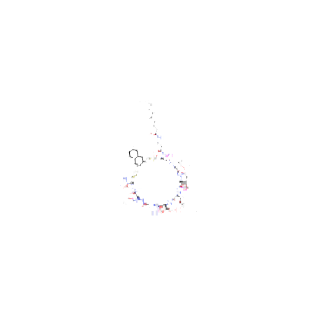 CCCCCCCCCCCCCCCCCC(=O)NCCC(=O)N[C@H]1CSCc2cc3ccccc3cc2CSC[C@@H](C(N)=O)NC(=O)[C@H](CCC(=O)O)NC(=O)CNC(=O)[C@H]([C@@H](C)O)NC(=O)C(CCC(=O)O)NC(=O)[C@@H]2CCCN2C(=O)[C@H](CC(=O)O)NC1=O